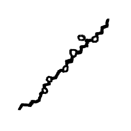 CCCCCCOCCOCCOCCOCCCC(=O)OCCCCC